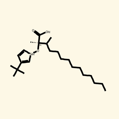 CCCCCCCCCCCC(C)[C@@](C)(O[SiH]1C=CC(C(C)(C)C)=C1)C(=O)O